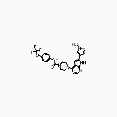 Cn1cc(-c2cc3c(N4CCN(C(=O)Nc5ccc(OC(F)(F)F)cc5)CC4)ncnc3[nH]2)cn1